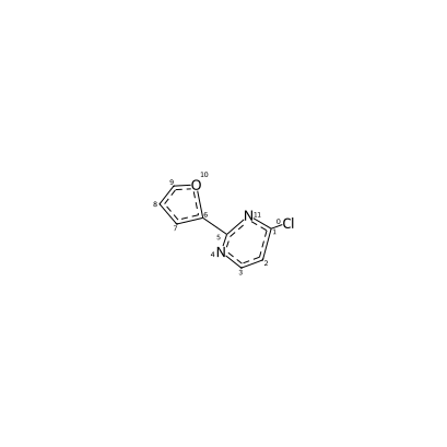 Clc1ccnc(-c2ccco2)n1